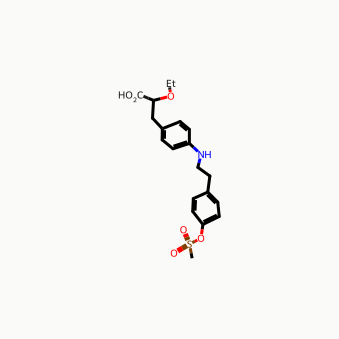 CCOC(Cc1ccc(NCCc2ccc(OS(C)(=O)=O)cc2)cc1)C(=O)O